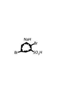 O=S(=O)(O)c1cc(Br)ccc1Br.[NaH]